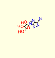 N#Cc1ncnc2c1ncn2[C@@H]1O[C@H](CO)[C@@H](O)[C@H]1O